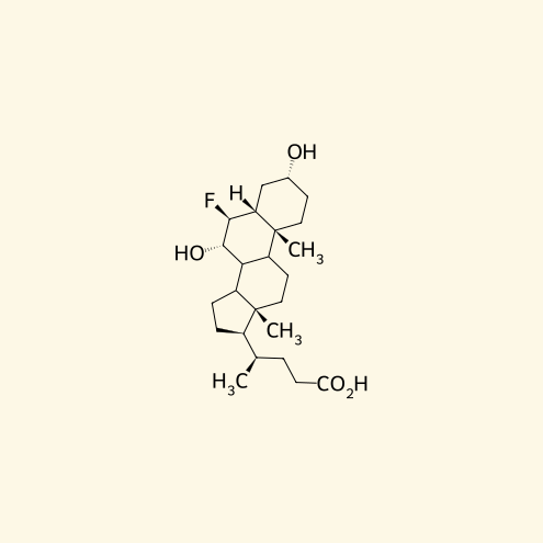 C[C@H](CCC(=O)O)[C@H]1CCC2C3C(CC[C@@]21C)[C@@]1(C)CC[C@@H](O)C[C@H]1[C@H](F)[C@H]3O